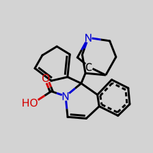 O=C(O)N1C=Cc2ccccc2C1(C1=CCCC=C1)C1CN2CCC1CC2